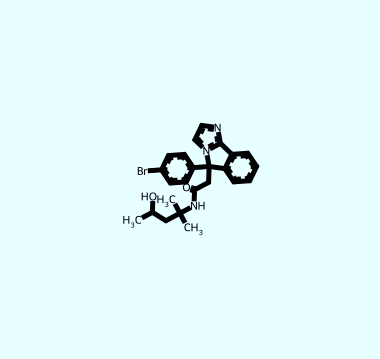 CC(O)CC(C)(C)NC(=O)CC1(c2ccc(Br)cc2)c2ccccc2-c2nccn21